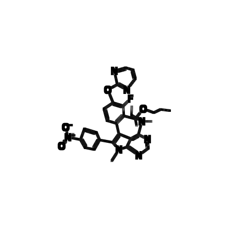 CCCOC(C)c1c(-c2c(-c3ccc([N+](=O)[O-])cc3)n(C)c3ncnc(N(C)CC)c23)ccc(Oc2ncccn2)c1F